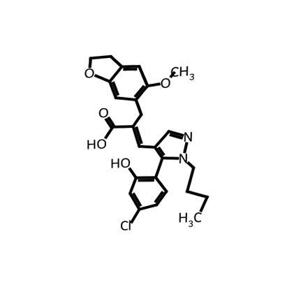 CCCCn1ncc(/C=C(\Cc2cc3c(cc2OC)CCO3)C(=O)O)c1-c1ccc(Cl)cc1O